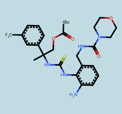 CC(C)(C)C(=O)OCC(C)(NC(=S)Nc1c(N)cccc1CNC(=O)N1CCOCC1)c1cccc(C(F)(F)F)c1